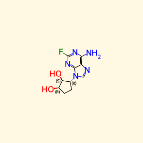 Nc1nc(F)nc2c1ncn2[C@@H]1CC[C@@H](O)[C@H]1O